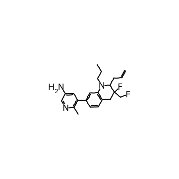 C=CCC1N(CCC)c2cc(-c3cc(N)cnc3C)ccc2CC1(F)CF